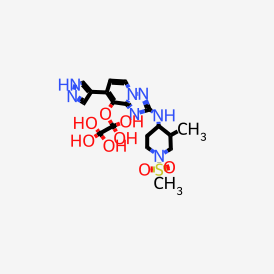 CC1CN(S(C)(=O)=O)CCC1Nc1nc2c(OC(O)(O)C(O)(O)O)c(-c3cn[nH]c3)ccn2n1